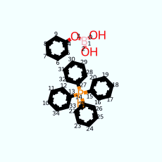 OB(O)Oc1ccccc1.c1ccc([PH](c2ccccc2)(c2ccccc2)c2ccccc2)cc1